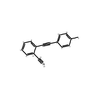 Cc1ccc(C#Cc2ccccc2C#N)cc1